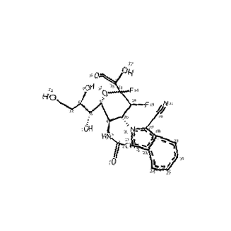 CC(=O)N[C@H]1[C@H]([C@H](O)[C@H](O)CO)OC(F)(C(=O)O)C(F)[C@@H]1n1cc2ccccc2c1C#N